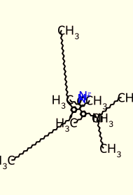 CCCCCCCCCCCCCCCCCCCCCCCCCCCCC#Cc1cc(C#CCCCCCCCCCCCCCCCCCCCCCCCCCCCC)cc(C(=C(CCCC)C(=C=[N+]=[N-])CCCC)c2cc(CCCC)cc(CCCC)c2)c1.CCCCCCCCCCC[CH2][Ni][CH2]CCCCCCCCCCC